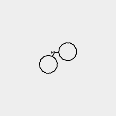 B(C1CCCCCCCCCCCC1)C1CCCCCCCCCCCC1